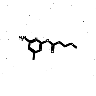 CCCCC(=O)Oc1cc(C)cc(N)n1